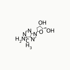 CC1(N)N=CN=C2C1=NCN2[C@H]1C[C@H](O)[C@@H](CO)O1